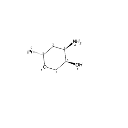 CC(C)[C@@H]1C[C@@H](N)[C@@H](O)CO1